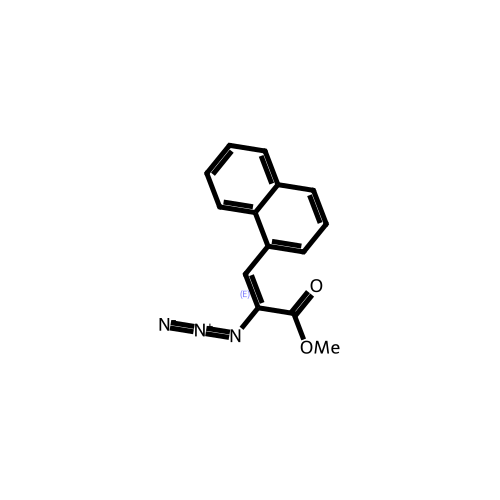 COC(=O)/C(=C\c1cccc2ccccc12)N=[N+]=[N-]